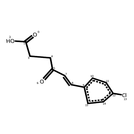 O=C(O)CCC(=O)C=Cc1ccc(Cl)cc1